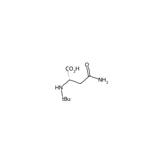 CC(C)(C)N[C@@H](CC(N)=O)C(=O)O